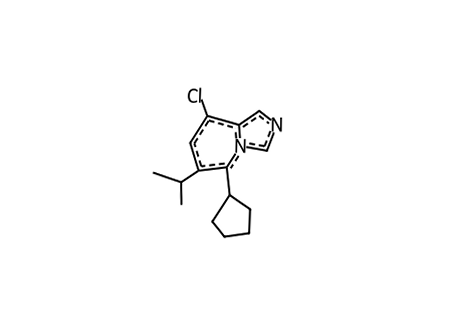 CC(C)c1cc(Cl)c2cncn2c1C1CCCC1